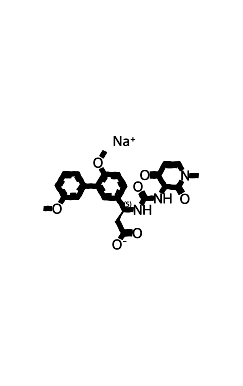 COc1cccc(-c2cc([C@H](CC(=O)[O-])NC(=O)NC3C(=O)C=CN(C)C3=O)ccc2OC)c1.[Na+]